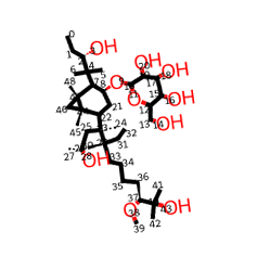 CC[C@H](O)C(C)(C)C1[C@@H](OC2OC(CO)C(O)C(O)C2O)CC([C@](C)(C[C@@H](C)O)[C@](C)(CC)CCCC[C@H](OC)C(C)(C)O)[C@]2(C)C[C@]12C